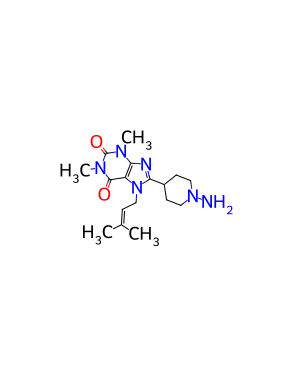 CC(C)=CCn1c(C2CCN(N)CC2)nc2c1c(=O)n(C)c(=O)n2C